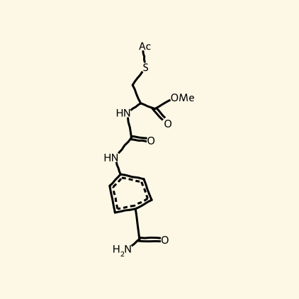 COC(=O)C(CSC(C)=O)NC(=O)Nc1ccc(C(N)=O)cc1